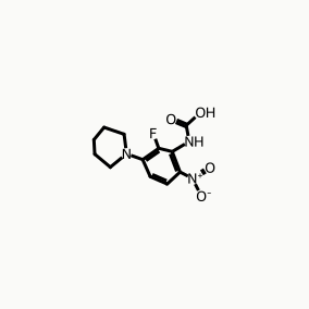 O=C(O)Nc1c([N+](=O)[O-])ccc(N2CCCCC2)c1F